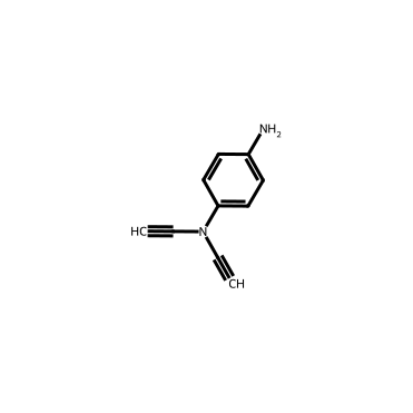 C#CN(C#C)c1ccc(N)cc1